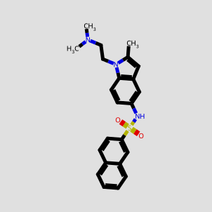 Cc1cc2cc(NS(=O)(=O)c3ccc4ccccc4c3)ccc2n1CCN(C)C